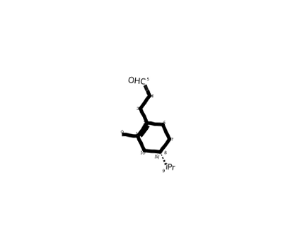 CC1=C(CCC=O)CC[C@H](C(C)C)C1